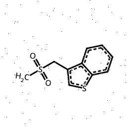 [CH2]S(=O)(=O)Cc1csc2ccccc12